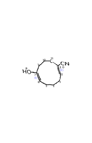 N#C/C1=C/CCC/C=C(/O)CCC1